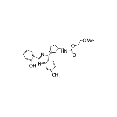 COCCOC(=O)NCC1CCN(c2nc(-c3ccccc3O)nc3cc(C)ccc23)C1